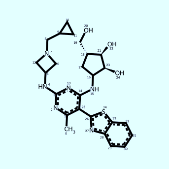 Cc1nc(NC2CN(CC3CC3)C2)nc(NC2C[C@H](CO)[C@@H](O)[C@H]2O)c1-c1nc2ccccc2s1